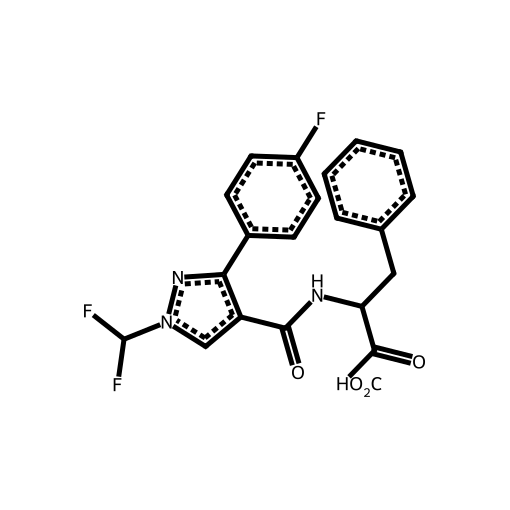 O=C(O)C(=O)C(Cc1ccccc1)NC(=O)c1cn(C(F)F)nc1-c1ccc(F)cc1